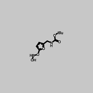 CC(C)(C)OC(=O)NCc1ccc(OBO)o1